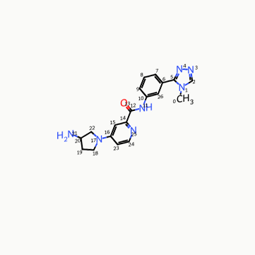 Cn1cnnc1-c1cccc(NC(=O)c2cc(N3CCC(N)C3)ccn2)c1